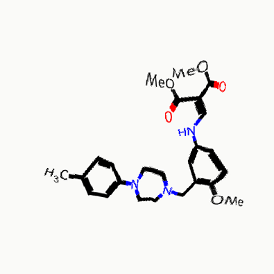 COC(=O)C(=CNc1ccc(OC)c(CN2CCN(c3ccc(C)cc3)CC2)c1)C(=O)OC